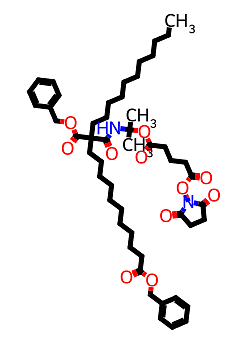 CCCCCCCCCCCC(CCCCCCCCCCC(=O)OCc1ccccc1)(C(=O)NC(C)(C)OC(=O)CCCC(=O)ON1C(=O)CCC1=O)C(=O)OCc1ccccc1